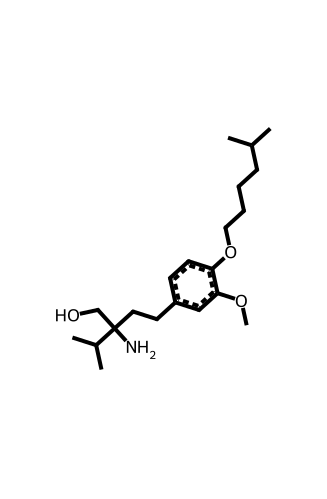 COc1cc(CCC(N)(CO)C(C)C)ccc1OCCCCC(C)C